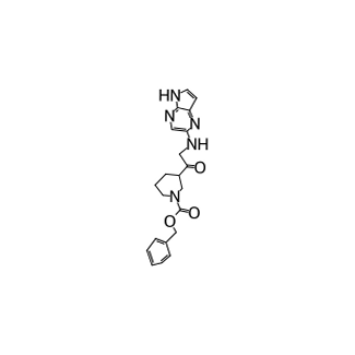 O=C(CNc1cnc2[nH]ccc2n1)C1CCCN(C(=O)OCc2ccccc2)C1